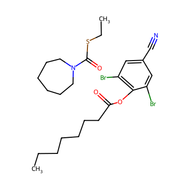 CCCCCCCC(=O)Oc1c(Br)cc(C#N)cc1Br.CCSC(=O)N1CCCCCC1